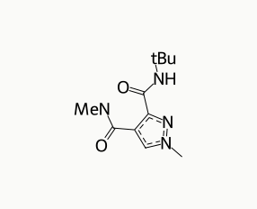 CNC(=O)c1cn(C)nc1C(=O)NC(C)(C)C